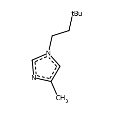 Cc1cn(CCC(C)(C)C)cn1